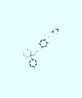 O=S(=O)(Nc1ncns1)c1cc(F)c(OCCC2(c3ccc(Cl)c(F)c3)CCNCC2)cc1F